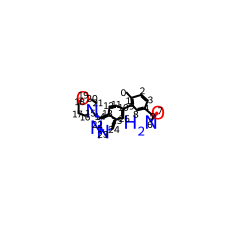 Cc1ccc(C(N)=O)cc1-c1ccc2c(N3CCCOCC3)nncc2c1